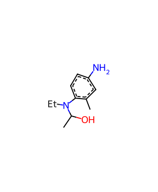 CCN(c1ccc(N)cc1C)C(C)O